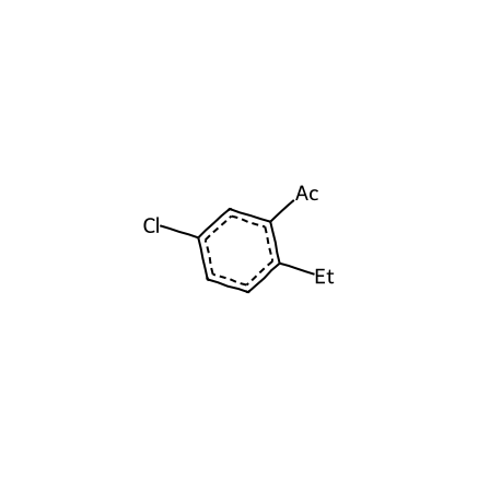 CCc1ccc(Cl)cc1C(C)=O